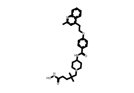 Cc1cc(CCOc2ccc(C(=O)NC3CCN(CC(C)(C)CCC(=O)NO)CC3)cc2)c2ccccc2n1